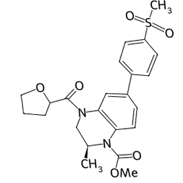 COC(=O)N1c2ccc(-c3ccc(S(C)(=O)=O)cc3)cc2N(C(=O)C2CCCO2)C[C@@H]1C